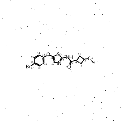 COC1CC(C(=O)Nc2ncc(Oc3ccc(Br)cc3)s2)C1